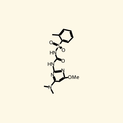 COc1cc(N(C)C)nc(NC(=O)NS(=O)(=O)c2ccccc2C)n1